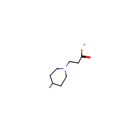 CC(C)(C)OC(=O)CCN1CCC(C(=O)O)CC1